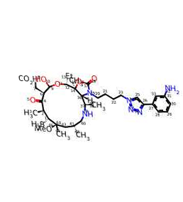 B[C@@H]1[C@@H](C)C(=O)[C@@H](CC(=O)O)C(O)O[C@H](CC)[C@@]2(C)OC(=O)N(CCCCn3cc(-c4cccc(N)c4)nn3)[C@@H]2[C@@H](C)NC[C@H](C)C[C@@]1(C)OC